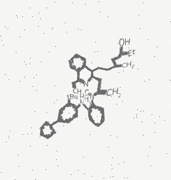 C=CC1=NC(CC(=C)N(C)c2ccccc2Nc2ccc(-c3ccccc3)cc2C(C)(C)C)C(CCC(=C)/C=C(/O)CC)c2ccccc21